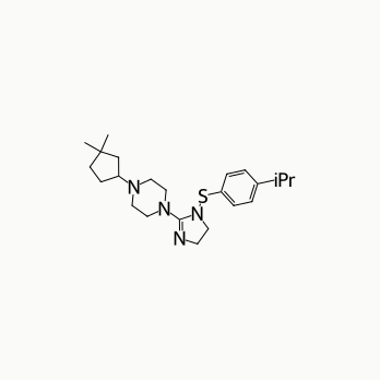 CC(C)c1ccc(SN2CCN=C2N2CCN(C3CCC(C)(C)C3)CC2)cc1